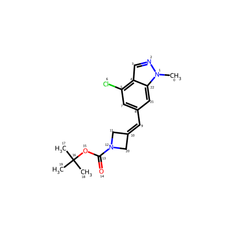 Cn1ncc2c(Cl)cc(C=C3CN(C(=O)OC(C)(C)C)C3)cc21